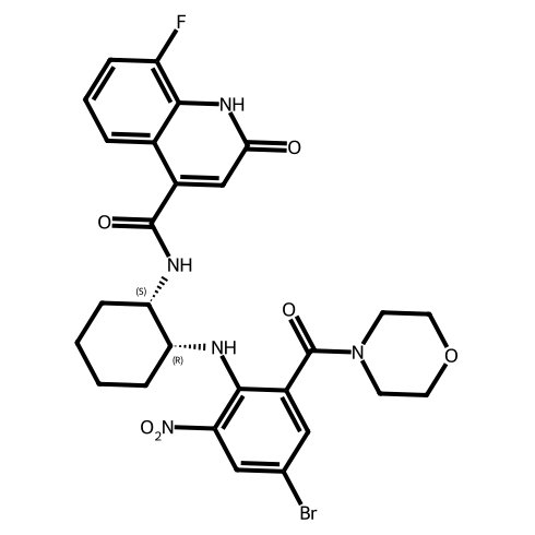 O=C(N[C@H]1CCCC[C@H]1Nc1c(C(=O)N2CCOCC2)cc(Br)cc1[N+](=O)[O-])c1cc(=O)[nH]c2c(F)cccc12